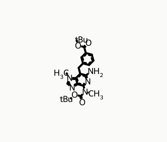 CN(C(=O)OC(C)(C)C)c1nc(N)c(Cc2cccc(C(=O)OC(C)(C)C)c2)c2c1ncn2C